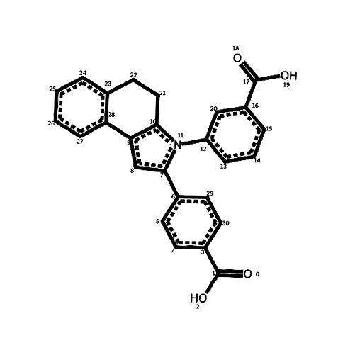 O=C(O)c1ccc(-c2cc3c(n2-c2cccc(C(=O)O)c2)CCc2ccccc2-3)cc1